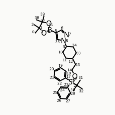 CC1(C)OB(c2cnn(C3CCC(CCO[Si](c4ccccc4)(c4ccccc4)C(C)(C)C)CC3)c2)OC1(C)C